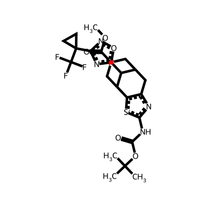 COC(=O)N1CC2Cc3nc(NC(=O)OC(C)(C)C)sc3C(C1)C2c1nc(C2(C(F)(F)F)CC2)no1